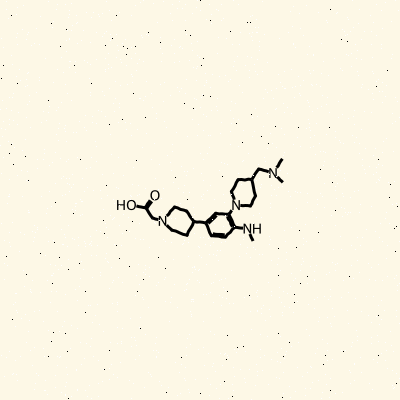 CNc1ccc(C2CCN(CC(=O)O)CC2)cc1N1CCC(CN(C)C)CC1